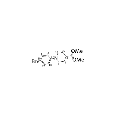 COC(OC)C1CCN(c2ccc(Br)cc2)CC1